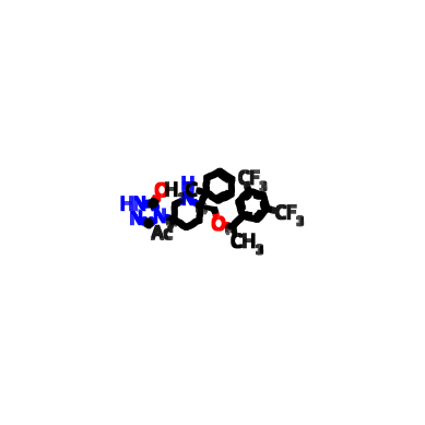 CC(=O)[C@]1(n2cn[nH]c2=O)CC[C@@](CO[C@H](C)c2cc(C(F)(F)F)cc(C(F)(F)F)c2)(C2(C)C=CC=CC2)NC1